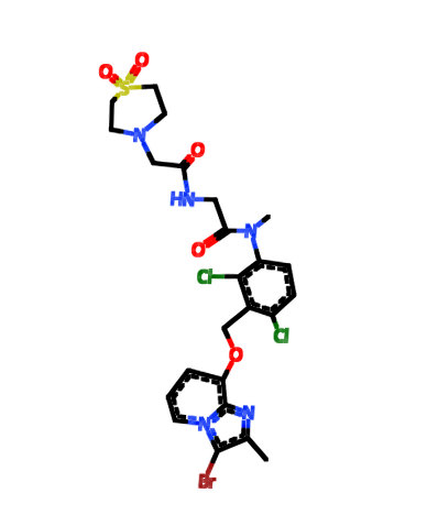 Cc1nc2c(OCc3c(Cl)ccc(N(C)C(=O)CNC(=O)CN4CCS(=O)(=O)CC4)c3Cl)cccn2c1Br